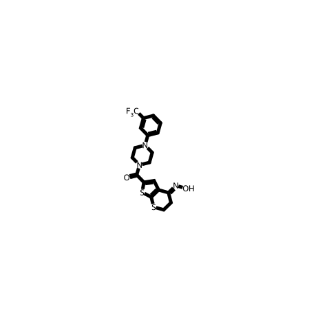 O=C(c1cc2c(s1)SCCC2=NO)N1CCN(c2cccc(C(F)(F)F)c2)CC1